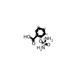 NS(N)(=O)=O.O=C(O)c1ccccc1